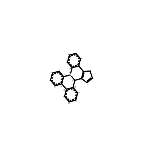 C1=CC2=C(C1)c1ccccc1N1c3ccccc3-c3ccccc3C21